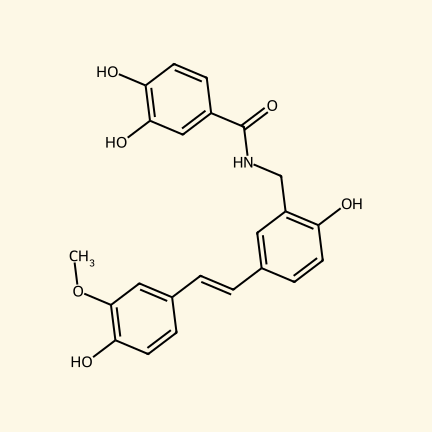 COc1cc(C=Cc2ccc(O)c(CNC(=O)c3ccc(O)c(O)c3)c2)ccc1O